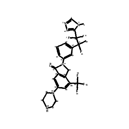 Cn1cnnc1C(F)(F)C(C)(F)c1cccc(N2Cc3c(cc(N4CCNCC4)cc3C(F)(F)F)C2=O)c1